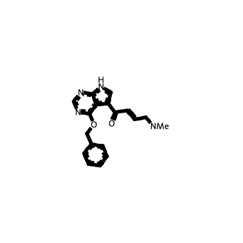 CNC/C=C/C(=O)c1c[nH]c2ncnc(OCc3ccccc3)c12